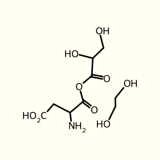 NC(CC(=O)O)C(=O)OC(=O)C(O)CO.OCCO